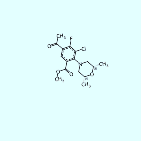 COC(=O)c1cc(C(C)=O)c(F)c(Cl)c1N1C[C@@H](C)O[C@@H](C)C1